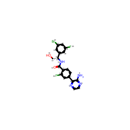 Nc1nccnc1-c1ccc(C(=O)N[C@H](CO)c2cc(F)cc(Br)c2)c(F)c1